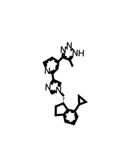 Cc1[nH]nnc1-c1ccnc(-c2cn(C[C@H]3CCc4cccc(C5CC5)c43)cn2)c1